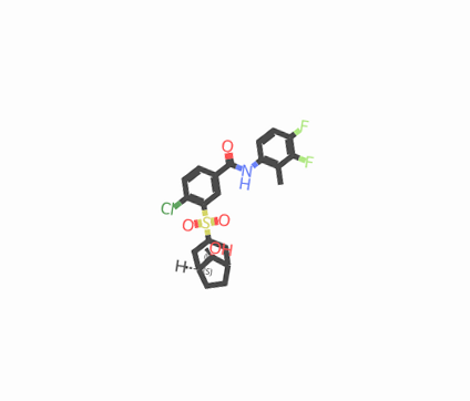 Cc1c(NC(=O)c2ccc(Cl)c(S(=O)(=O)C3CC4CC[C@@H](C3)[C@]4(C)O)c2)ccc(F)c1F